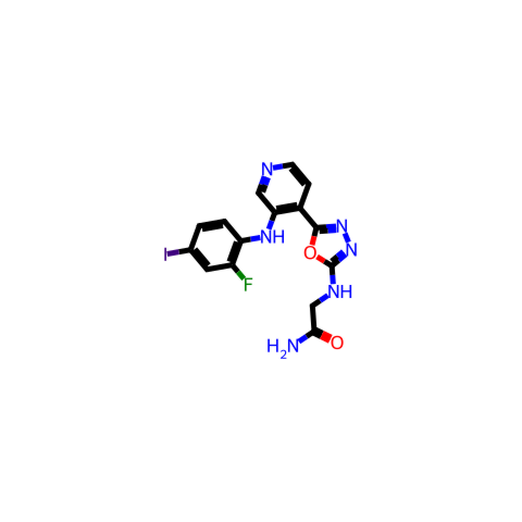 NC(=O)CNc1nnc(-c2ccncc2Nc2ccc(I)cc2F)o1